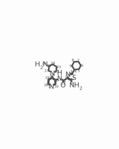 Nc1sc(C2CCCCC2)nc1C(=O)Nc1cnccc1N1CCC[C@H](N)C1